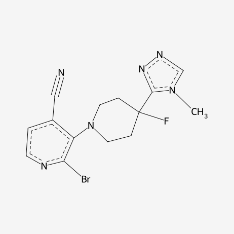 Cn1cnnc1C1(F)CCN(c2c(C#N)ccnc2Br)CC1